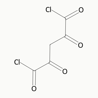 O=C(Cl)C(=O)CC(=O)C(=O)Cl